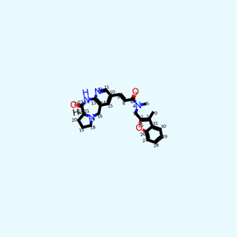 Cc1c(CN(C)C(=O)C=Cc2cnc3c(c2)CN2CCC[C@H]2C(=O)N3)oc2ccccc12